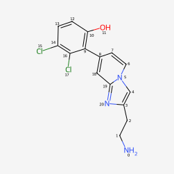 NCCc1cn2ccc(-c3c(O)ccc(Cl)c3Cl)cc2n1